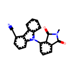 CN1C(=O)c2cccc(-n3c4ccccc4c4c(C#N)cccc43)c2C1=O